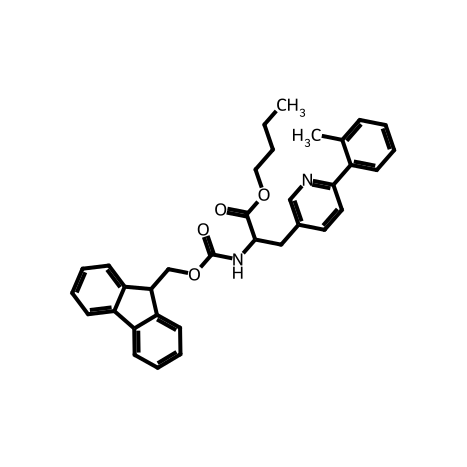 CCCCOC(=O)C(Cc1ccc(-c2ccccc2C)nc1)NC(=O)OCC1c2ccccc2-c2ccccc21